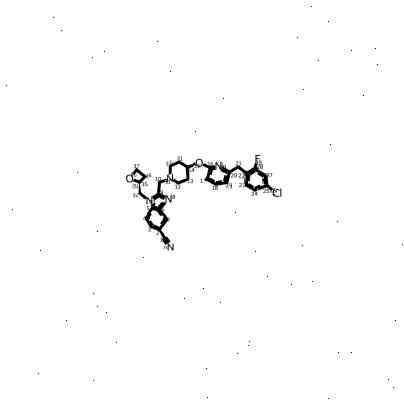 N#Cc1ccc2c(c1)nc(CN1CCC(Oc3cccc(Cc4ccc(Cl)cc4F)n3)CC1)n2C[C@@H]1CCO1